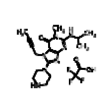 CC#CCn1c(N2CCNCC2)nc2nc(NC(C)C)n(C)c(=O)c21.O=C(O)C(F)(F)F